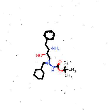 CC(C)(C)OC(=O)NN(CC1CCCCC1)C[C@@H](O)[C@@H](N)Cc1ccccc1